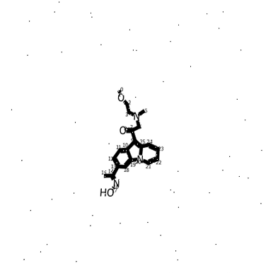 COCCN(C)CC(=O)c1c2ccc(C(C)=NO)cc2n2ccccc12